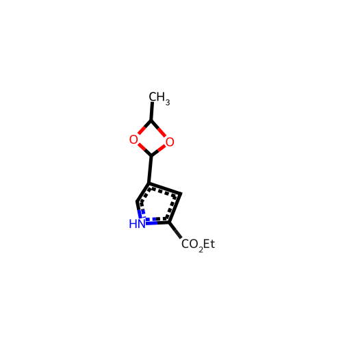 CCOC(=O)c1cc(C2OC(C)O2)c[nH]1